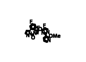 COc1ncccc1-c1ncc(F)c(OC2CN(C(=O)N3N=CC[C@H]3c3cc(F)cc(F)c3)C2)n1